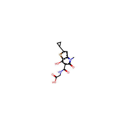 Cn1c(=O)c(C(=O)NCC(=O)O)c(O)c2sc(C3CC3)cc21